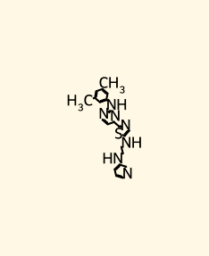 Cc1cc(C)cc(Nc2nccc(-c3ncc(NCCNc4cccnc4)s3)n2)c1